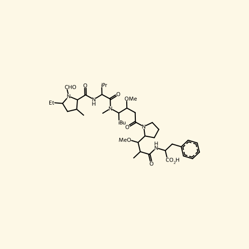 CCC(C)C(C(CC(=O)N1CCCC1C(OC)C(C)C(=O)NC(Cc1ccccc1)C(=O)O)OC)N(C)C(=O)C(NC(=O)C1C(C)CC(CC)N1C=O)C(C)C